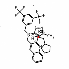 Cn1nnc(N(Cc2cc(C(F)(F)F)cc(C(F)(F)F)c2)Cc2cc3ccccc3nc2C(C)(N)CC2CCCC2)n1